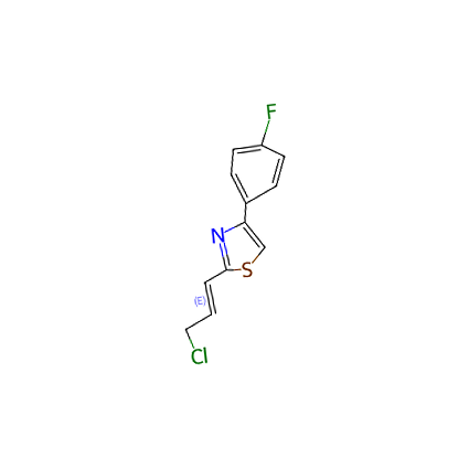 Fc1ccc(-c2csc(/C=C/CCl)n2)cc1